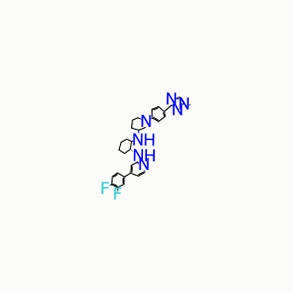 Cn1cnc(-c2ccc(N3CCC[C@H](N[C@@H]4CCCC[C@H]4Nc4cc(-c5ccc(F)c(F)c5)ccn4)C3)cc2)n1